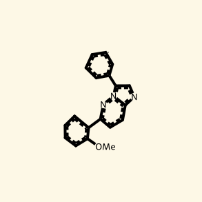 COc1ccccc1-c1ccc2ncc(-c3c[c]ccc3)n2n1